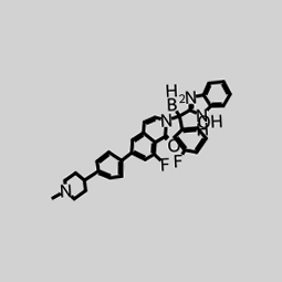 BC(c1nc2ccccc2[nH]1)(c1cc(F)ccc1O)n1ccc2cc(-c3ccc(C4CCN(C)CC4)cc3)cc(F)c2c1=O